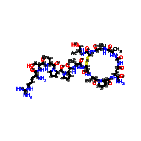 CC[C@H](C)[C@@H]1NC(=O)[C@H](C)NC(=O)NC(=O)C[C@@H](C(N)=O)NC(=O)[C@@H]2CCCN2C(=O)[C@H]([C@@H](C)CC)NC(=O)[C@@H](NC(=O)[C@@H](NC(=O)[C@@H]2CCCN2C(=O)[C@@H]2CCCN2C(=O)[C@H](CC(C)C)NC(=O)[C@H](CO)NC(=O)[C@@H](N)CCCNC(=N)N)[C@@H](C)CC)SS[C@@H](C(=O)N[C@@H](CO)C(C)=O)NC1=O